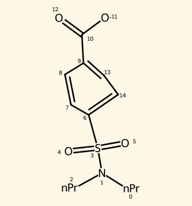 CCCN(CCC)S(=O)(=O)c1ccc(C([O])=O)cc1